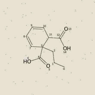 CCCC1(C(=O)O)C=CC=CC1C(=O)O